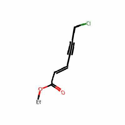 CCOC(=O)C=CC#CCCl